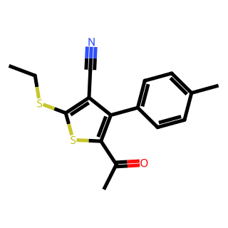 CCSc1sc(C(C)=O)c(-c2ccc(C)cc2)c1C#N